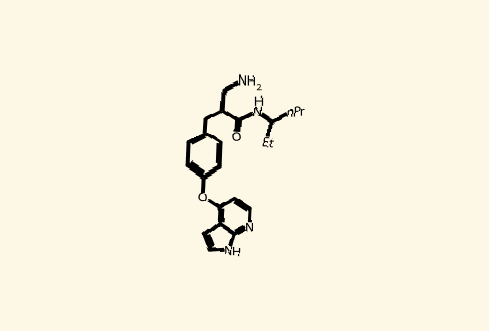 CCCC(CC)NC(=O)C(CN)Cc1ccc(Oc2ccnc3[nH]ccc23)cc1